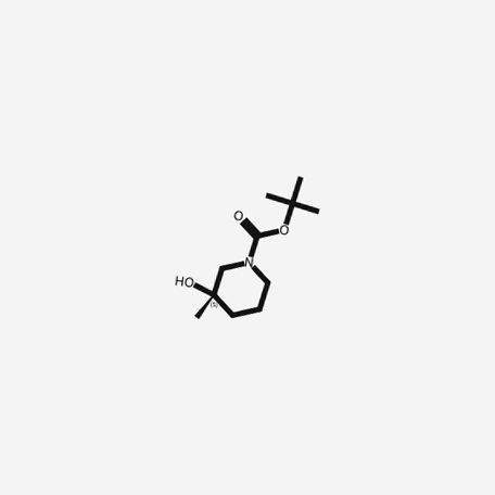 CC(C)(C)OC(=O)N1CCC[C@](C)(O)C1